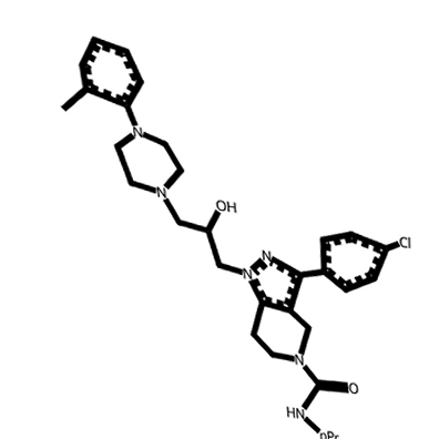 CCCNC(=O)N1CCc2c(c(-c3ccc(Cl)cc3)nn2CC(O)CN2CCN(c3ccccc3C)CC2)C1